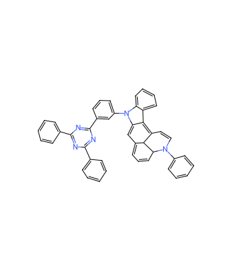 C1=CC2C3C(=C1)C=c1c(c4ccccc4n1-c1cccc(-c4nc(-c5ccccc5)nc(-c5ccccc5)n4)c1)=C3C=CN2c1ccccc1